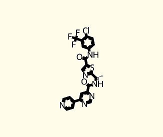 C[C@H](NC(=O)c1cc(-c2ccncc2)ncn1)c1ncc(C(=O)Nc2ccc(Cl)c(C(F)(F)F)c2)s1